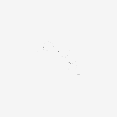 Fc1ccc(-c2cc(-c3cncc(Cl)c3)no2)c(F)c1